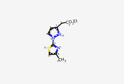 CCOC(=O)Cc1ccn(-c2nc(C)cs2)n1